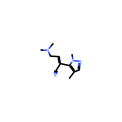 Cc1cnn(C)c1/C(C#N)=C/CN(C)C